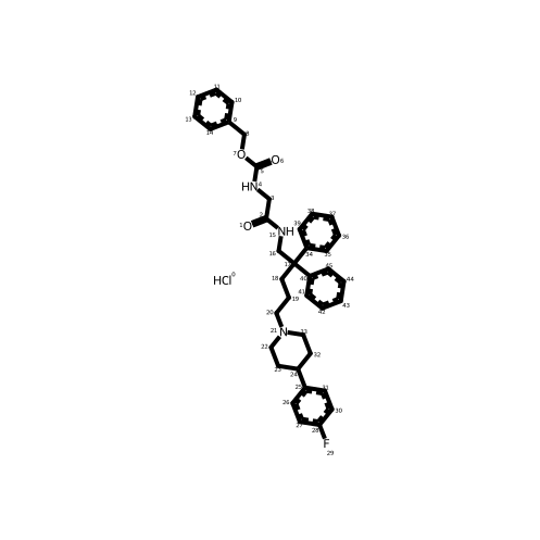 Cl.O=C(CNC(=O)OCc1ccccc1)NCC(CCCN1CCC(c2ccc(F)cc2)CC1)(c1ccccc1)c1ccccc1